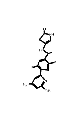 CCC1CC(NC(C)c2cc(F)c(-c3cc(C(F)(F)F)cc(O)n3)cc2F)=CN1